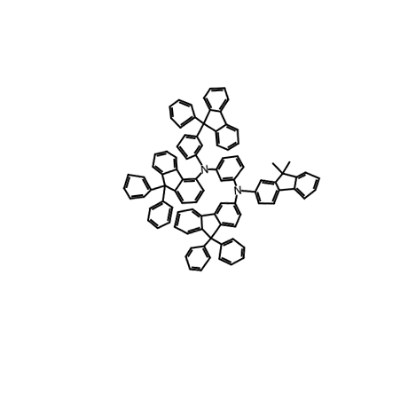 CC1(C)c2ccccc2-c2ccc(N(c3cccc(N(c4cccc(C5(c6ccccc6)c6ccccc6-c6ccccc65)c4)c4cccc5c4-c4ccccc4C5(c4ccccc4)c4ccccc4)c3)c3ccc4c(c3)-c3ccccc3C4(c3ccccc3)c3ccccc3)cc21